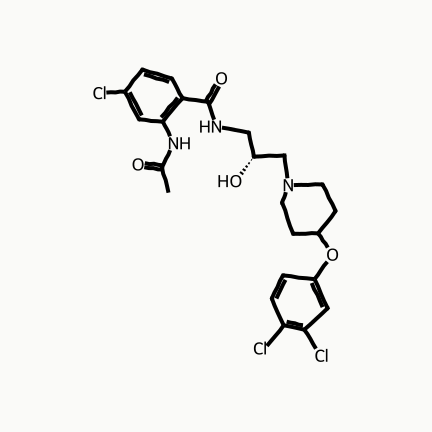 CC(=O)Nc1cc(Cl)ccc1C(=O)NC[C@@H](O)CN1CCC(Oc2ccc(Cl)c(Cl)c2)CC1